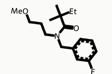 CCC(C)(C)C(=O)N(CCCOC)Cc1cccc(F)c1